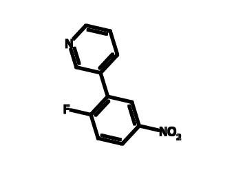 O=[N+]([O-])c1ccc(F)c(-c2cccnc2)c1